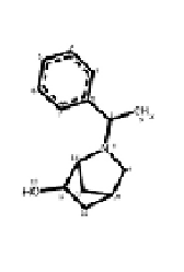 CC(c1ccccc1)N1CC2CC(O)C1C2